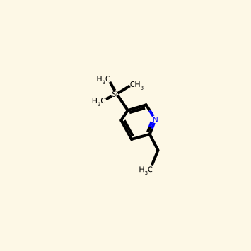 CCc1ccc([Si](C)(C)C)cn1